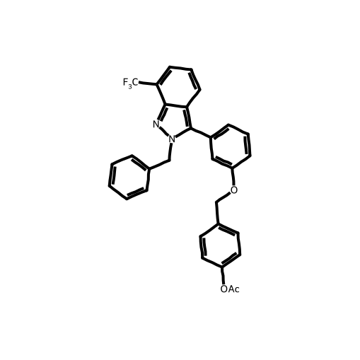 CC(=O)Oc1ccc(COc2cccc(-c3c4cccc(C(F)(F)F)c4nn3Cc3ccccc3)c2)cc1